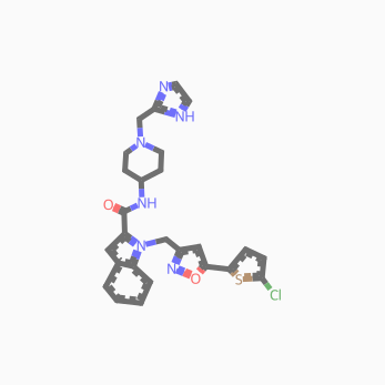 O=C(NC1CCN(Cc2ncc[nH]2)CC1)c1cc2ccccc2n1Cc1cc(-c2ccc(Cl)s2)on1